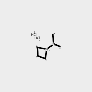 CN(C)N1CCC1.Cl.Cl